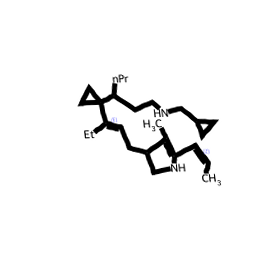 C/C=C\C1=C(C)C(C/C=C(\CC)C2(C(CCC)CCNCC3CC3)CC2)CN1